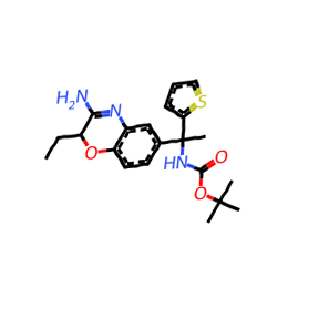 CCC1Oc2ccc(C(C)(NC(=O)OC(C)(C)C)c3cccs3)cc2N=C1N